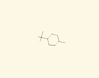 CC1CCC(C(C)(O)C(F)(F)F)CC1